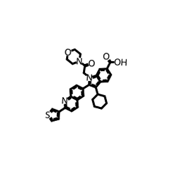 O=C(O)c1ccc2c(C3CCCCC3)c(-c3ccc4nc(-c5ccsc5)ccc4c3)n(CC(=O)N3CCOCC3)c2c1